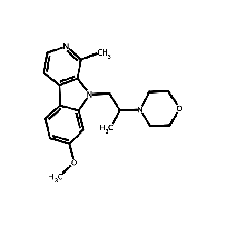 COc1ccc2c3ccnc(C)c3n(CC(C)N3CCOCC3)c2c1